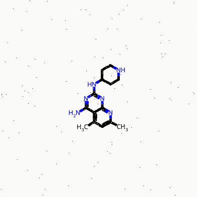 Cc1cc(C)c2c(N)nc(NC3CCNCC3)nc2n1